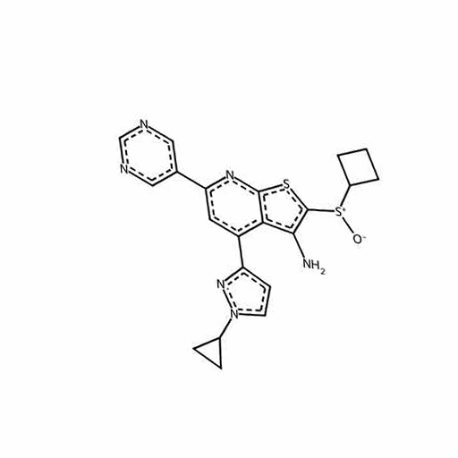 Nc1c([S+]([O-])C2CCC2)sc2nc(-c3cncnc3)cc(-c3ccn(C4CC4)n3)c12